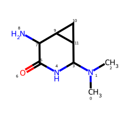 CN(C)C1NC(=O)C(N)C2CC21